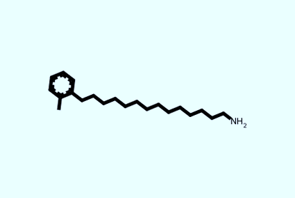 Cc1ccccc1CCCCCCCCCCCCCCN